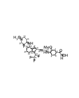 COc1cc(C(=O)NO)ccc1NCC#Cc1sc2c(NC3CCN(C)CC3F)cccc2c1C(F)C(F)F